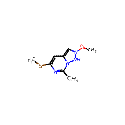 CON1C=C2C=C(SC)N=C(C)N2N1